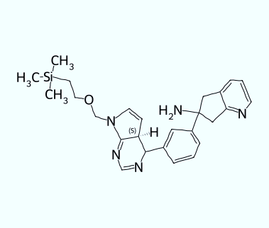 C[Si](C)(C)CCOCN1C=C[C@@H]2C1=NC=NC2c1cccc(C2(N)Cc3cccnc3C2)c1